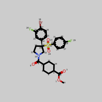 COC(=O)C1CCC(C(=O)N2CC[C@](c3ccc(Br)c(F)c3)(S(=O)(=O)c3ccc(F)cc3)C2)CC1